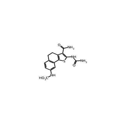 NC(=O)Nc1sc2c(c1C(N)=O)CCc1ccc(NC(=O)O)cc1-2